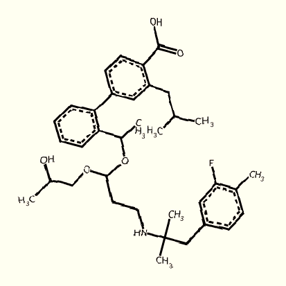 Cc1ccc(CC(C)(C)NCCC(OCC(C)O)OC(C)c2ccccc2-c2ccc(C(=O)O)c(CC(C)C)c2)cc1F